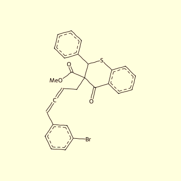 COC(=O)C1(CC=C=Cc2cccc(Br)c2)C(=O)c2ccccc2SC1c1ccccc1